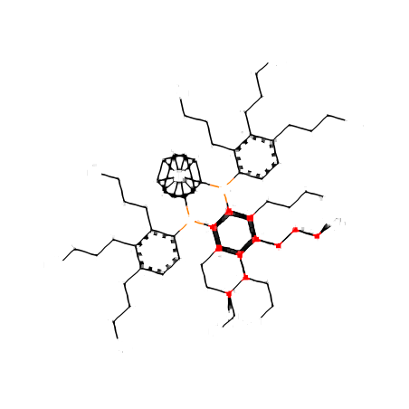 CCCCc1ccc(P(c2ccc(CCCC)c(CCCC)c2CCCC)[C]23[CH]4[CH]5[CH]6[C]2(P(c2ccc(CCCC)c(CCCC)c2CCCC)c2ccc(CCCC)c(CCCC)c2CCCC)[Ti]54632789[CH]3[CH]2[CH]7[CH]8[CH]39)c(CCCC)c1CCCC